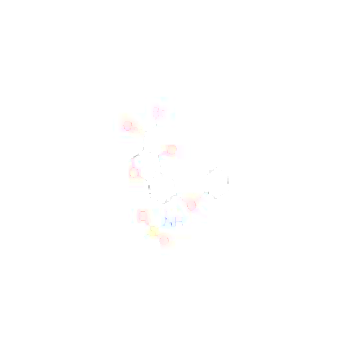 CS(=O)(=O)Nc1cc2occ(C(=O)CBr)c(=O)c2cc1Oc1ccccc1